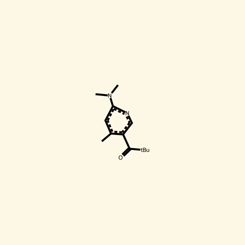 Cc1cc(N(C)C)ncc1C(=O)C(C)(C)C